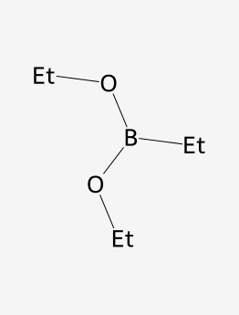 CCOB(CC)OCC